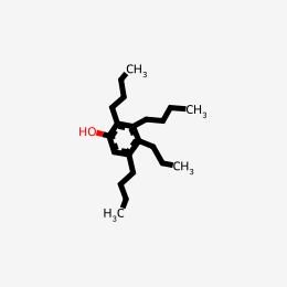 CCCCc1cc(O)c(CCCC)c(CCCC)c1CCC